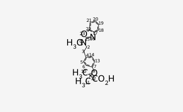 CN(CCc1ccc(OC(C)(C)C(=O)O)cc1)c1nc2ccccc2o1